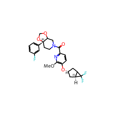 COc1nc(C(=O)N2CC[C@]3(c4cccc(F)c4)OCOC3C2)ccc1O[C@@H]1CC2[C@H](C1)C2(F)F